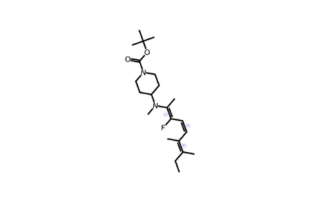 CC/C(C)=C(C)/C=C\C(F)=C(/C)N(C)C1CCN(C(=O)OC(C)(C)C)CC1